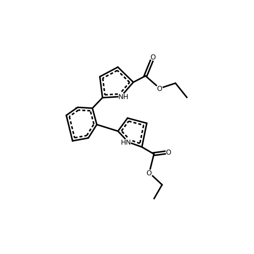 CCOC(=O)c1ccc(-c2[c]cccc2-c2ccc(C(=O)OCC)[nH]2)[nH]1